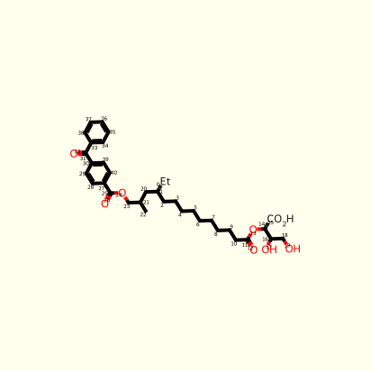 CCC(CCCCCCCCCC(=O)OC(C(=O)O)C(O)CO)CC(C)COC(=O)c1ccc(C(=O)c2ccccc2)cc1